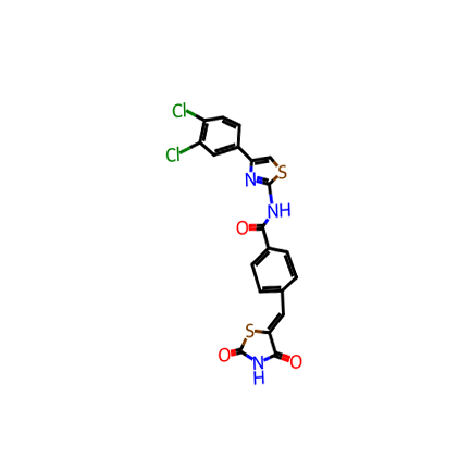 O=C1NC(=O)C(=Cc2ccc(C(=O)Nc3nc(-c4ccc(Cl)c(Cl)c4)cs3)cc2)S1